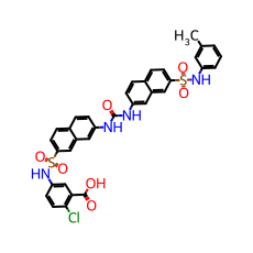 Cc1cccc(NS(=O)(=O)c2ccc3ccc(NC(=O)Nc4ccc5ccc(S(=O)(=O)Nc6ccc(Cl)c(C(=O)O)c6)cc5c4)cc3c2)c1